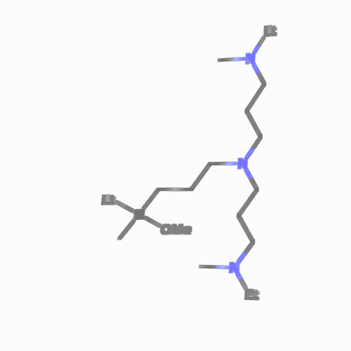 CCN(C)CCCN(CCCN(C)CC)CCC[Si](C)(CC)OC